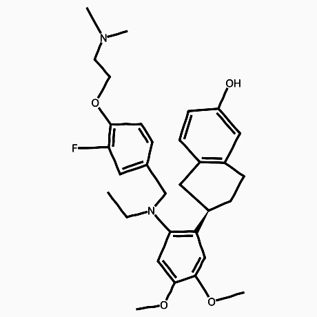 CCN(Cc1ccc(OCCN(C)C)c(F)c1)c1cc(OC)c(OC)cc1[C@@H]1CCc2cc(O)ccc2C1